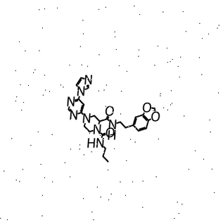 CCCNC(=O)N1CCN(c2cc(-n3ccnc3)ncn2)CC1C(=O)NCCc1ccc2c(c1)OCO2